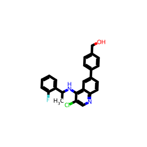 CC(Nc1c(Cl)cnc2ccc(-c3ccc(CO)cc3)cc12)c1ccccc1F